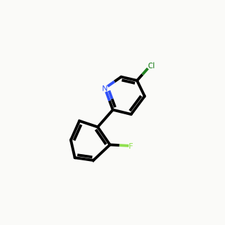 Fc1[c]cccc1-c1ccc(Cl)cn1